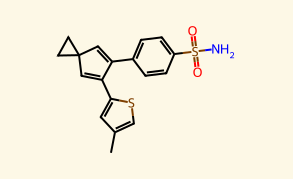 Cc1csc(C2=CC3(C=C2c2ccc(S(N)(=O)=O)cc2)CC3)c1